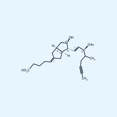 CC#CCC(C)[C@@H](/C=C/[C@@H]1[C@H]2C/C(=C/CCCC(=O)O)C[C@H]2C[C@H]1O)OC(C)=O